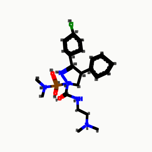 CN(C)CCNC(=O)[N+]1(S(=O)(=O)N(C)C)CC(c2ccccc2)C(c2ccc(Cl)cc2)=N1